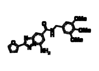 COc1cc(CNC(=O)c2cc(N)n3nc(-c4ccco4)nc3c2)cc(OC)c1OC